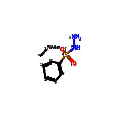 CNC.NNS(=O)(=O)c1ccccc1